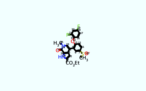 CCOC(=O)c1cc2c(-c3cc([S+](C)[O-])ccc3Oc3ccc(F)cc3F)cn(C)c(=O)c2[nH]1